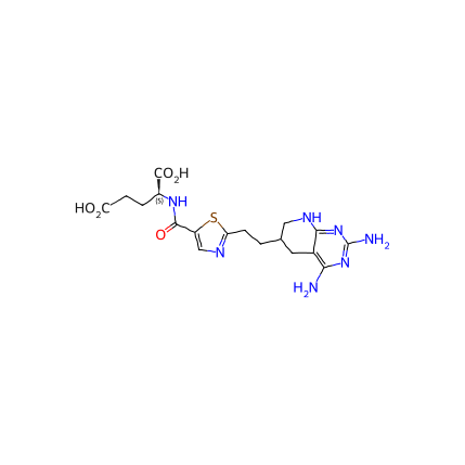 Nc1nc(N)c2c(n1)NCC(CCc1ncc(C(=O)N[C@@H](CCC(=O)O)C(=O)O)s1)C2